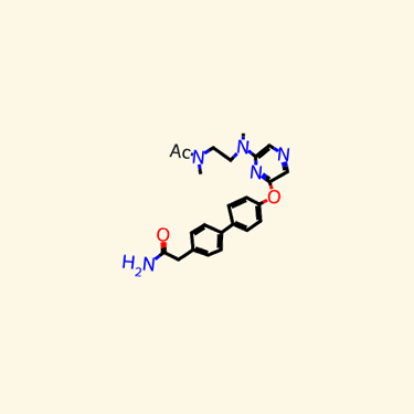 CC(=O)N(C)CCN(C)c1cncc(Oc2ccc(-c3ccc(CC(N)=O)cc3)cc2)n1